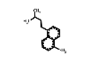 CC(C)CCc1cccc2c(N)cccc12